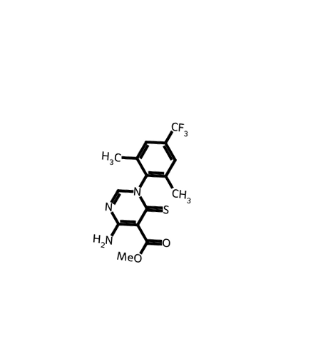 COC(=O)c1c(N)ncn(-c2c(C)cc(C(F)(F)F)cc2C)c1=S